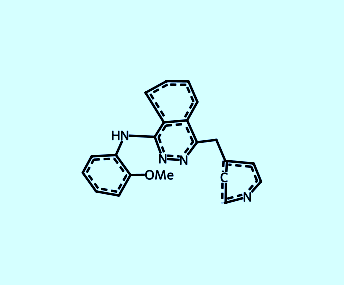 COc1ccccc1Nc1nnc(Cc2ccncc2)c2ccccc12